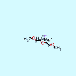 COCCOCCOC.[CH3][Mg+].[I-]